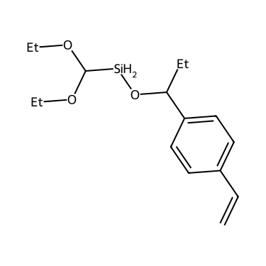 C=Cc1ccc(C(CC)O[SiH2]C(OCC)OCC)cc1